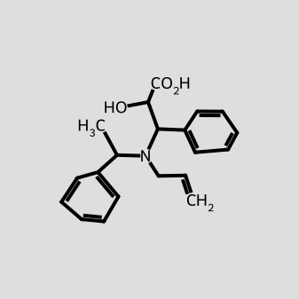 C=CCN(C(C)c1ccccc1)C(c1ccccc1)C(O)C(=O)O